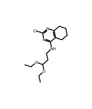 CCOC(CCNc1nc(Cl)nc2c1CCCC2)OCC